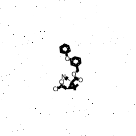 CC1(C)[C@@H](C=C(Cl)Cl)[C@@]1(C#N)C(=O)OCc1cccc(Oc2ccccc2)c1